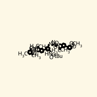 Cc1cc(C)c(S(=O)(=O)N2Cc3ccc(-c4cc(CNC(=O)OC(C)(C)C)cc(Cn5cnc(S(=O)(=O)N6Cc7ccc(-c8cccc(S(C)(=O)=O)c8)cc7C(C)(C)C6)c5)c4)cc3C(C)(C)C2)c(C)c1